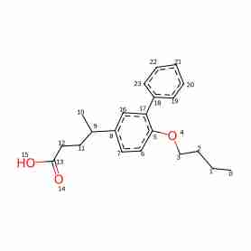 CCCCOc1ccc(C(C)CCC(=O)O)cc1-c1ccccc1